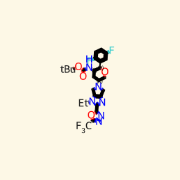 CCn1c(-c2nnc(C(F)(F)F)o2)nc2c1CN([C@H]1CO[C@H](c3cc(F)ccc3F)[C@@H](NC(=O)OC(C)(C)C)C1)C2